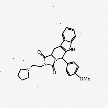 COc1ccc(C2c3[nH]c4ccccc4c3CC3C(=O)N(CCN4CCCC4)C(=O)N32)cc1